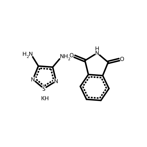 Nc1nsnc1N.O=C1NC(=O)c2ccccc21.[KH]